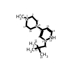 CN1CCN(C2=CN(CC(C)(C)C)NC=C2)CC1